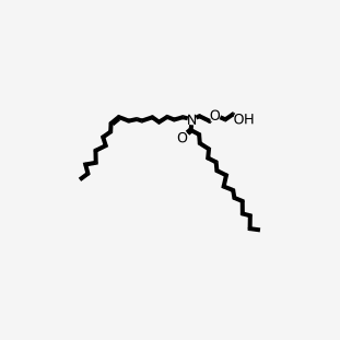 CCCCCCCC/C=C\CCCCCCCCN(CCOCCO)C(=O)CCCCCCCCCCCCCCC